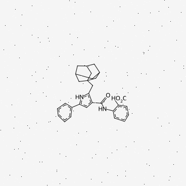 O=C(O)c1ccccc1NC(=O)c1cc(-c2ccccc2)[nH]c1CC12CC3CC(CC(C3)C1)C2